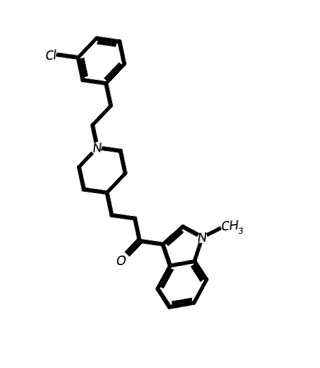 Cn1cc(C(=O)CCC2CCN(CCc3cccc(Cl)c3)CC2)c2ccccc21